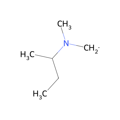 [CH2]N(C)C(C)CC